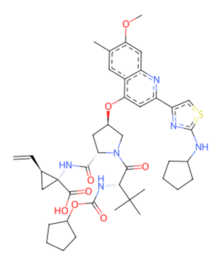 C=C[C@@H]1C[C@]1(NC(=O)[C@@H]1C[C@@H](Oc2cc(-c3csc(NC4CCCC4)n3)nc3cc(OC)c(C)cc23)CN1C(=O)[C@@H](NC(=O)OC1CCCC1)C(C)(C)C)C(=O)O